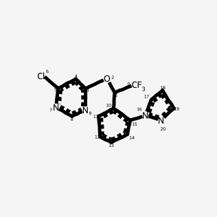 FC(F)(F)C(Oc1cc(Cl)ncn1)c1ccccc1-n1cccn1